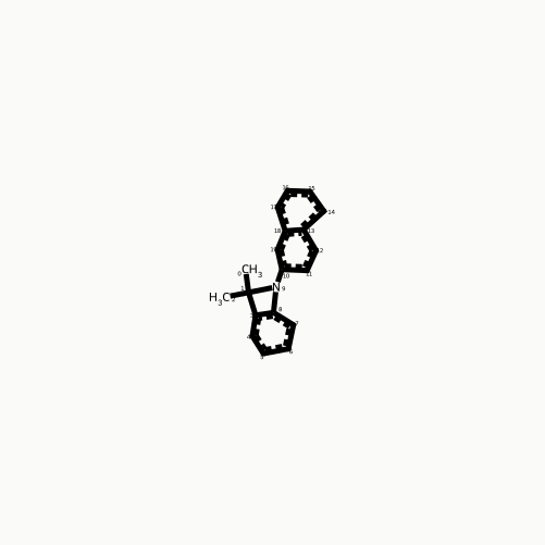 CC1(C)c2ccccc2N1c1ccc2ccccc2c1